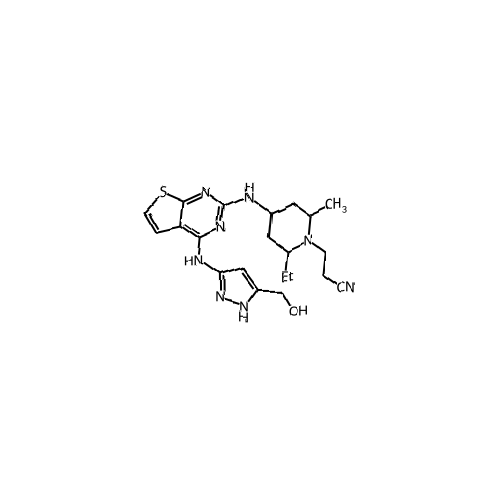 CCC1CC(Nc2nc(Nc3cc(CO)[nH]n3)c3ccsc3n2)CC(C)N1CCC#N